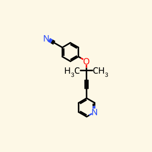 CC(C)(C#Cc1cccnc1)Oc1ccc(C#N)cc1